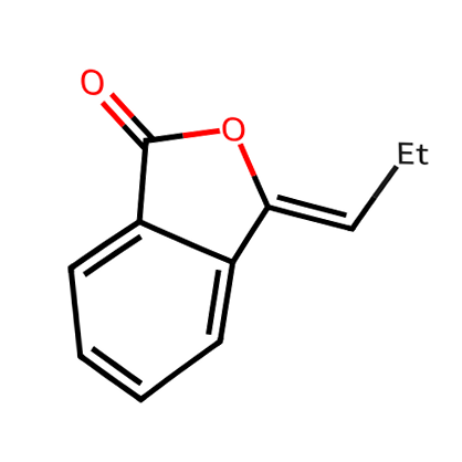 CCC=C1OC(=O)c2ccccc21